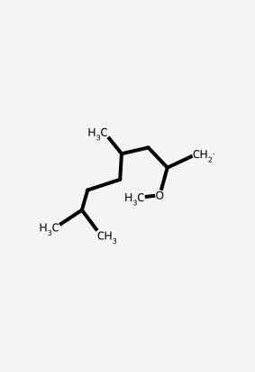 [CH2]C(CC(C)CCC(C)C)OC